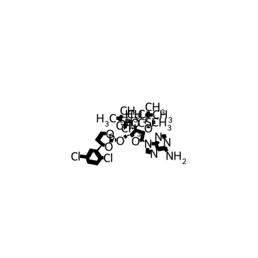 CC(C)(C)[Si](C)(C)O[C@@H]1[C@H](O[Si](C)(C)C(C)(C)C)[C@@H](COP2OC=C[C@H](c3cc(Cl)ccc3Cl)O2)O[C@H]1n1cnc2c(N)ncnc21